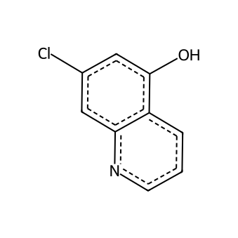 Oc1cc(Cl)cc2ncccc12